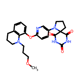 COCCCN1CCCc2cccc(Oc3ccc(N4CCCC45C(=O)NC(=O)NC5=O)cn3)c21